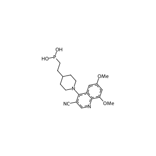 COc1cc(OC)c2ncc(C#N)c(N3CCC(CCP(O)O)CC3)c2c1